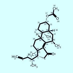 C=CC[C@@H](C)[C@H]1CC(=O)C2=C3[C@H](C)C[C@H]4C[C@@H](OC(C)=O)CC[C@]4(C)[C@H]3CC[C@@]21C